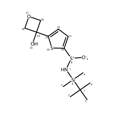 CC(C)(C)[Si](C)(C)N[S+]([O-])c1ccc(C2(O)COC2)s1